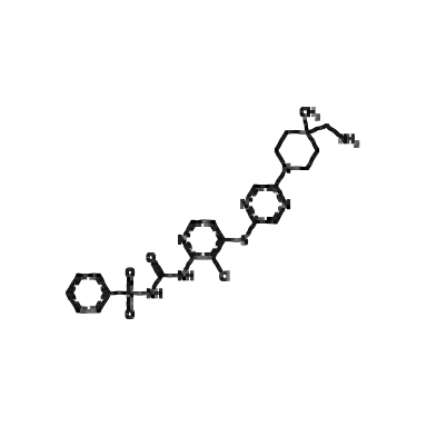 CC1(CN)CCN(c2cnc(Sc3ccnc(NC(=O)NS(=O)(=O)c4ccccc4)c3Cl)cn2)CC1